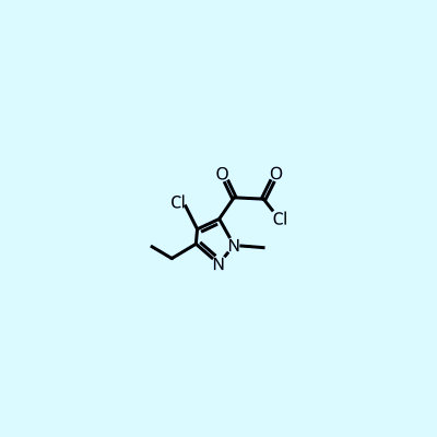 CCc1nn(C)c(C(=O)C(=O)Cl)c1Cl